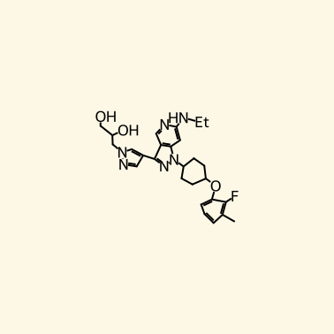 CCNc1cc2c(cn1)c(-c1cnn(CC(O)CO)c1)nn2C1CCC(Oc2cccc(C)c2F)CC1